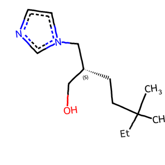 CCC(C)(C)CC[C@H](CO)Cn1ccnc1